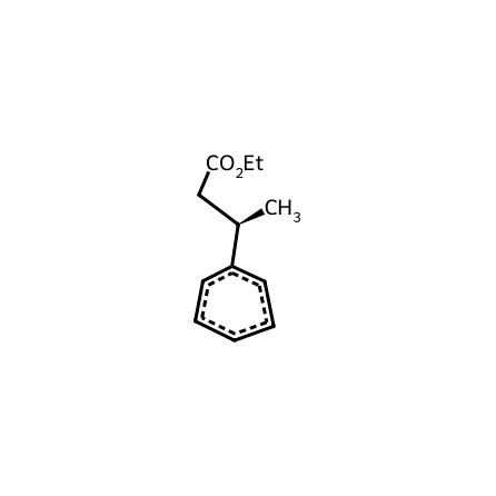 CCOC(=O)C[C@@H](C)c1ccccc1